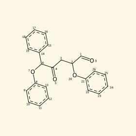 O=CC(CC(=O)C(Oc1ccccc1)c1ccccc1)Oc1ccccc1